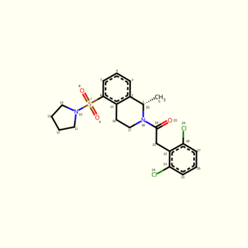 C[C@H]1c2cccc(S(=O)(=O)N3CCCC3)c2CCN1C(=O)Cc1c(Cl)cccc1Cl